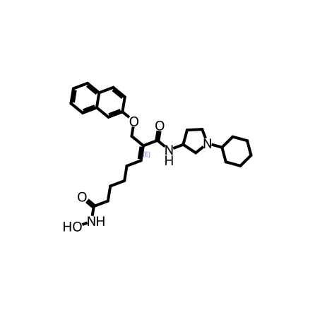 O=C(CCCC/C=C(\COc1ccc2ccccc2c1)C(=O)NC1CCN(C2CCCCC2)C1)NO